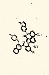 CN1CCN(C[C@@H]2Cc3ccccc3CN2C(=O)c2ccc(Br)cc2-n2cc(C(=O)N(c3ccc(O)cc3)c3ccc4c(ccn4C)c3)c3ccccc32)CC1.Cl